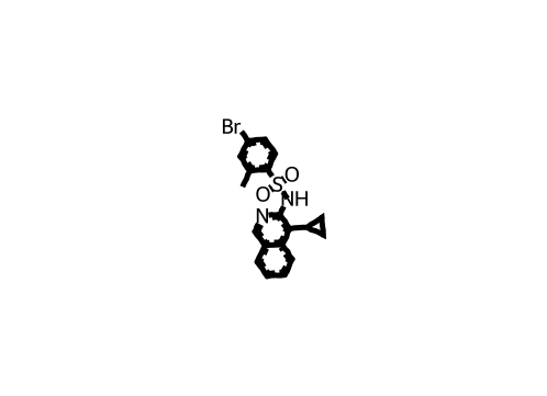 Cc1cc(Br)ccc1S(=O)(=O)Nc1ncc2ccccc2c1C1CC1